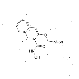 CCCCCCCCCCOc1cc2ccccc2cc1C(=O)NO